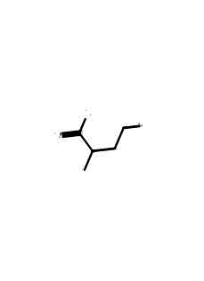 CC(CCO)C(=N)N